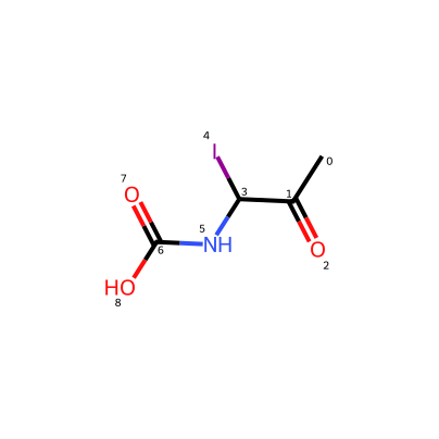 CC(=O)C(I)NC(=O)O